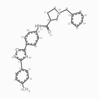 Cc1ccc(-c2noc(-c3ccc(NC(=O)C4CCN(Cc5ccccc5)C4)cc3)n2)cc1